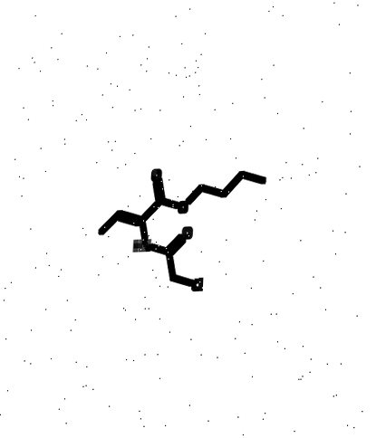 CC=C(NC(=O)CCl)C(=O)OCCCC